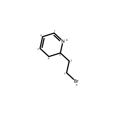 BrCCC1CC=CC=N1